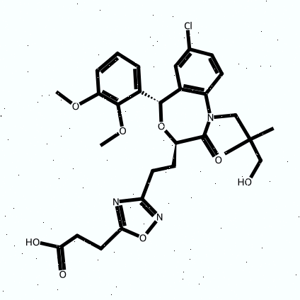 COc1cccc([C@H]2O[C@H](CCc3noc(CCC(=O)O)n3)C(=O)N(CC(C)(C)CO)c3ccc(Cl)cc32)c1OC